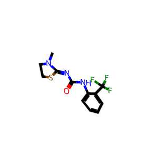 CN1CCSC1=NC(=O)Nc1ccccc1C(F)(F)F